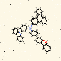 c1ccc2c(c1)oc1cc(-c3ccc(N(c4ccc5c6ccccc6c6ccccc6c5c4)c4ccc5c6cccc7c8ccccc8n(c5c4)c76)cc3)ccc12